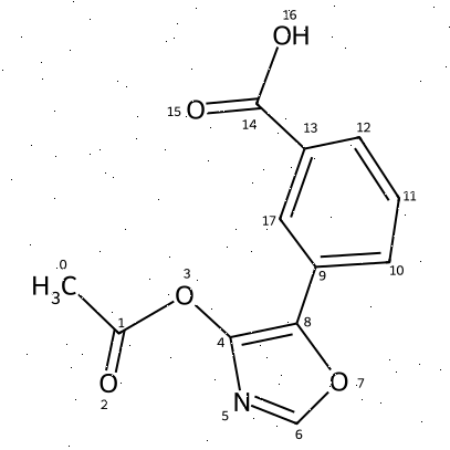 CC(=O)Oc1ncoc1-c1cccc(C(=O)O)c1